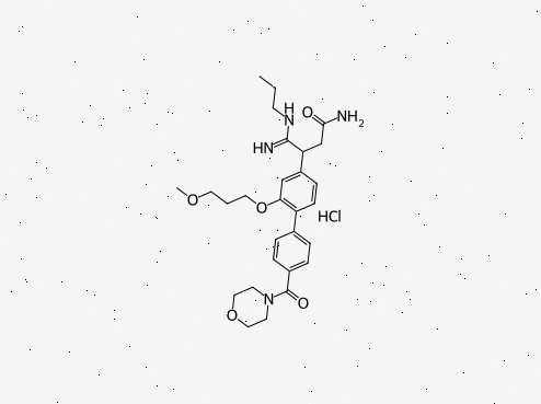 CCCNC(=N)C(CC(N)=O)c1ccc(-c2ccc(C(=O)N3CCOCC3)cc2)c(OCCCOC)c1.Cl